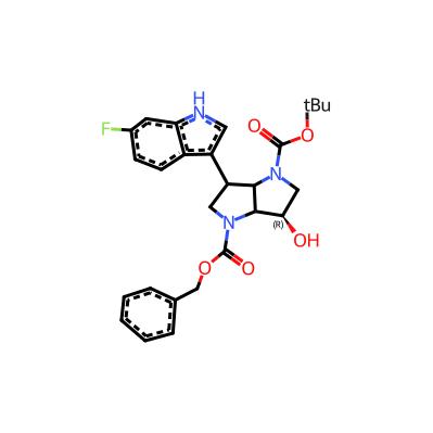 CC(C)(C)OC(=O)N1C[C@@H](O)C2C1C(c1c[nH]c3cc(F)ccc13)CN2C(=O)OCc1ccccc1